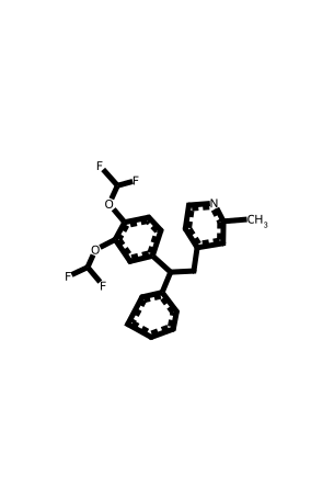 Cc1cc(CC(c2ccccc2)c2ccc(OC(F)F)c(OC(F)F)c2)ccn1